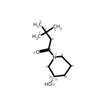 CC(C)(C)CC(=O)N1CCC[C@H](O)C1